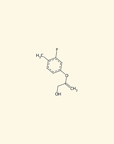 C=C(CO)Oc1ccc(C)c(F)c1